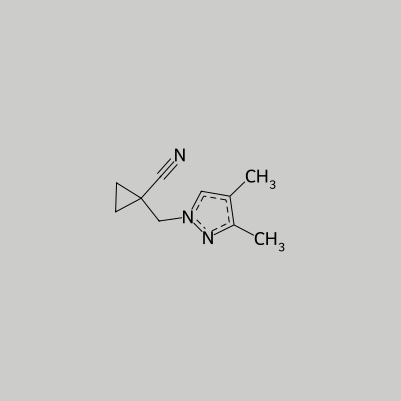 Cc1cn(CC2(C#N)CC2)nc1C